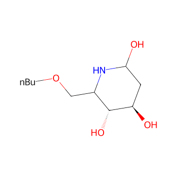 CCCCOCC1NC(O)C[C@@H](O)[C@@H]1O